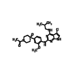 COc1cc(P2(=O)CCN(C(C)=O)CC2)ccc1Nc1nc(NCC(C)C)c2c(Cl)c[nH]c2n1